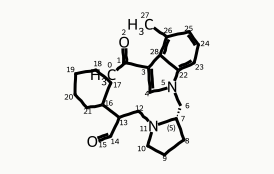 CC(=O)c1cn(C[C@@H]2CCCN2CC(C=O)C2CCCCC2)c2cccc(C)c12